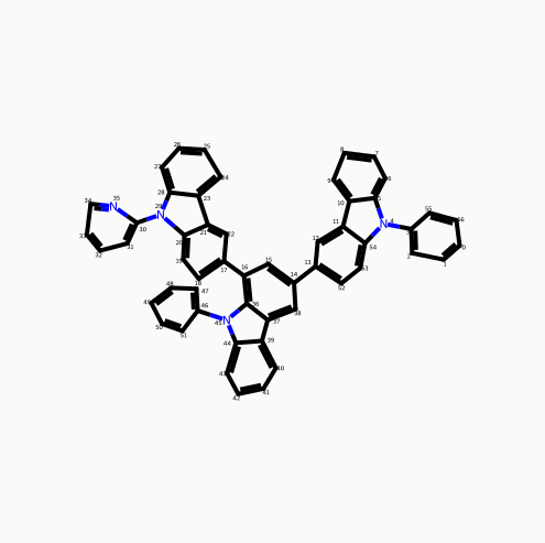 c1ccc(-n2c3ccccc3c3cc(-c4cc(-c5ccc6c(c5)c5ccccc5n6-c5ccccn5)c5c(c4)c4ccccc4n5-c4ccccc4)ccc32)cc1